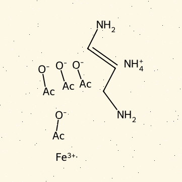 CC(=O)[O-].CC(=O)[O-].CC(=O)[O-].CC(=O)[O-].NC=CCN.[Fe+3].[NH4+]